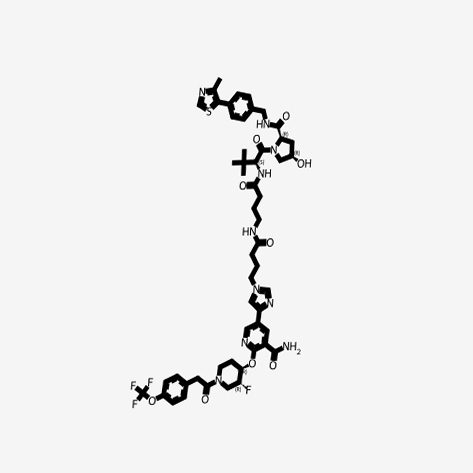 Cc1ncsc1-c1ccc(CNC(=O)[C@H]2C[C@@H](O)CN2C(=O)[C@@H](NC(=O)CCCNC(=O)CCCn2cnc(-c3cnc(O[C@@H]4CCN(C(=O)Cc5ccc(OC(F)(F)F)cc5)C[C@H]4F)c(C(N)=O)c3)c2)C(C)(C)C)cc1